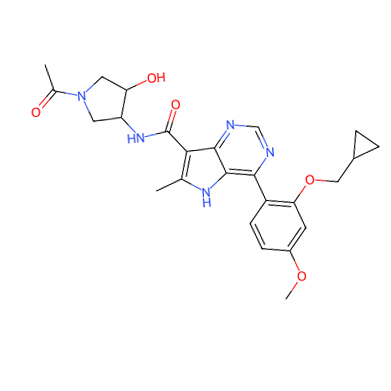 COc1ccc(-c2ncnc3c(C(=O)NC4CN(C(C)=O)CC4O)c(C)[nH]c23)c(OCC2CC2)c1